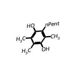 CCCCCc1c(C)c(O)c(C)c(C)c1O